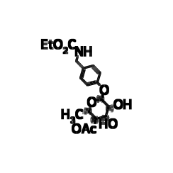 CCOC(=O)NCc1ccc(O[C@@H]2O[C@@H](C)[C@H](OC(C)=O)[C@@H](O)[C@H]2O)cc1